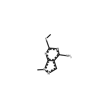 CSc1nc(N)c2cnn(C)c2n1